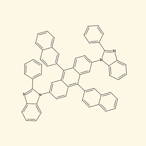 c1ccc(-c2nc3ccccc3n2-c2ccc3c(-c4ccc5ccccc5c4)c4cc(-n5c(-c6ccccc6)nc6ccccc65)ccc4c(-c4ccc5ccccc5c4)c3c2)cc1